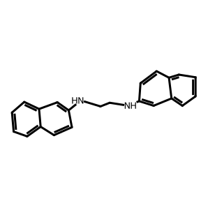 c1ccc2cc(NCCNc3ccc4ccccc4c3)ccc2c1